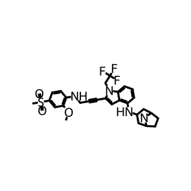 COc1cc(S(C)(=O)=O)ccc1NCC#Cc1cc2c(NC3CC4CCC(C3)N4C)cccc2n1CC(F)(F)F